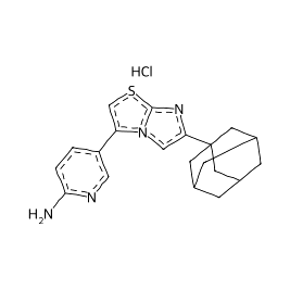 Cl.Nc1ccc(-c2csc3nc(C45CC6CC(CC(C6)C4)C5)cn23)cn1